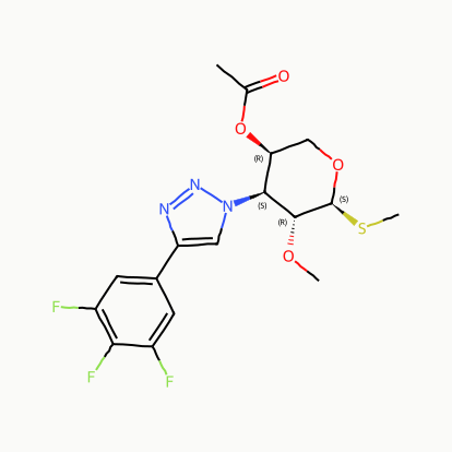 CO[C@@H]1[C@@H](n2cc(-c3cc(F)c(F)c(F)c3)nn2)[C@@H](OC(C)=O)CO[C@H]1SC